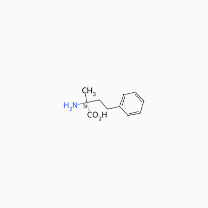 C[C@](N)(CCc1ccccc1)C(=O)O